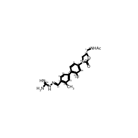 CC(=O)NC[C@H]1CN(c2ccc(-c3ccc(C=NNC(=N)N)c(C)c3)c(F)c2)C(=O)O1